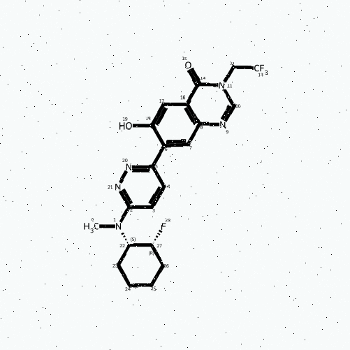 CN(c1ccc(-c2cc3ncn(CC(F)(F)F)c(=O)c3cc2O)nn1)[C@H]1CCCC[C@H]1F